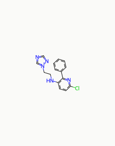 Clc1ccc(NCCn2cncn2)c(-c2ccccc2)n1